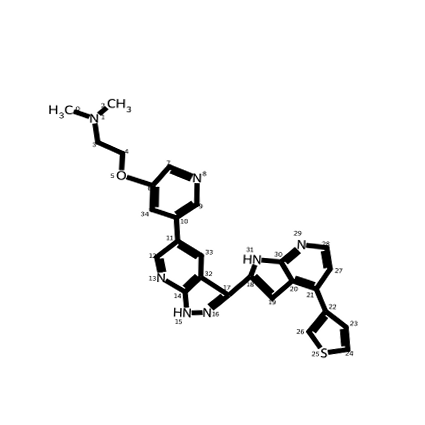 CN(C)CCOc1cncc(-c2cnc3[nH]nc(-c4cc5c(-c6ccsc6)ccnc5[nH]4)c3c2)c1